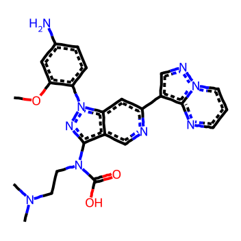 COc1cc(N)ccc1-n1nc(N(CCN(C)C)C(=O)O)c2cnc(-c3cnn4cccnc34)cc21